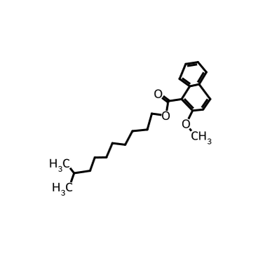 COc1ccc2ccccc2c1C(=O)OCCCCCCCCC(C)C